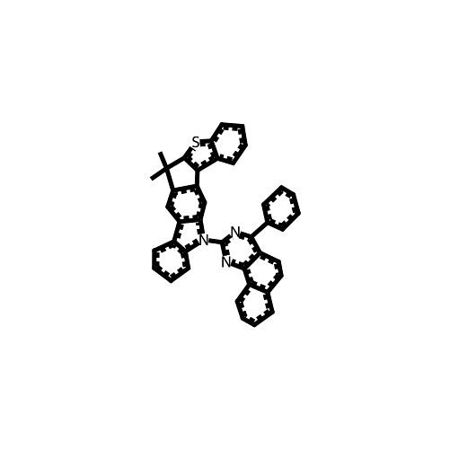 CC1(C)c2cc3c4ccccc4n(-c4nc(-c5ccccc5)c5ccc6ccccc6c5n4)c3cc2-c2c1sc1ccccc21